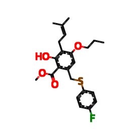 CCCOc1cc(CSc2ccc(F)cc2)c(C(=O)OC)c(O)c1CC=C(C)C